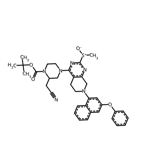 C[S+]([O-])c1nc2c(c(N3CCN(C(=O)OC(C)(C)C)C(CC#N)C3)n1)CCN(c1cc(Oc3ccccc3)cc3ccccc13)C2